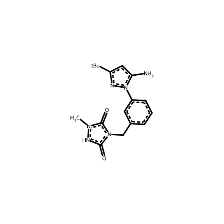 Cn1[nH]c(=O)n(Cc2cccc(-n3nc(C(C)(C)C)cc3N)c2)c1=O